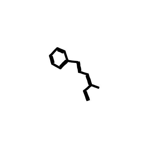 C=CC(C)=CC=Cc1ccccc1